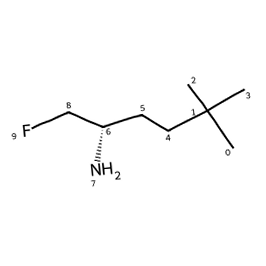 CC(C)(C)CC[C@H](N)CF